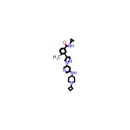 Cc1ccc(C(=O)NC2CC2)cc1-c1cnn(-c2cncc(NC3CCN(C4CCC4)CC3)c2)c1